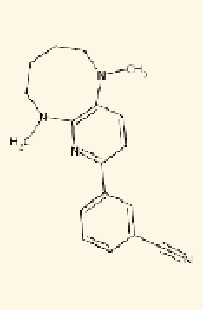 CN1CCCCN(C)c2nc(-c3cccc(C#N)c3)ccc21